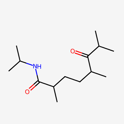 CC(C)NC(=O)C(C)CCC(C)C(=O)C(C)C